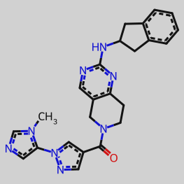 Cn1cncc1-n1cc(C(=O)N2CCc3nc(NC4Cc5ccccc5C4)ncc3C2)cn1